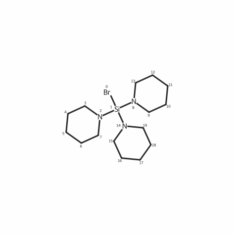 Br[Si](N1CCCCC1)(N1CCCCC1)N1CCCCC1